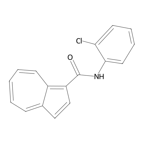 O=C(Nc1ccccc1Cl)c1ccc2cccccc1-2